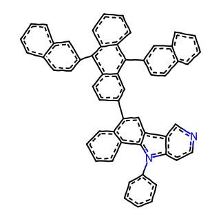 c1ccc(-n2c3ccncc3c3cc(-c4ccc5c(-c6ccc7ccccc7c6)c6ccccc6c(-c6ccc7ccccc7c6)c5c4)c4ccccc4c32)cc1